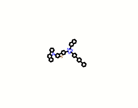 c1ccc(-c2ccc(-c3ccc(-c4nc(-c5ccc6ccccc6c5)nc(-c5ccc6c(c5)sc5ccc(-n7c8ccccc8c8ccc9ccccc9c87)cc56)n4)cc3)cc2)cc1